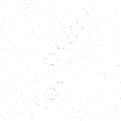 CCC1CCc2nc(NC(=O)c3cccc(CNC(=O)c4ccc(OC)c(C)c4)c3)sc2C1